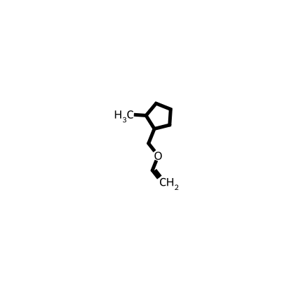 C=COCC1CCCC1C